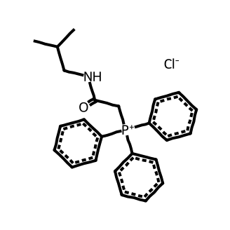 CC(C)CNC(=O)C[P+](c1ccccc1)(c1ccccc1)c1ccccc1.[Cl-]